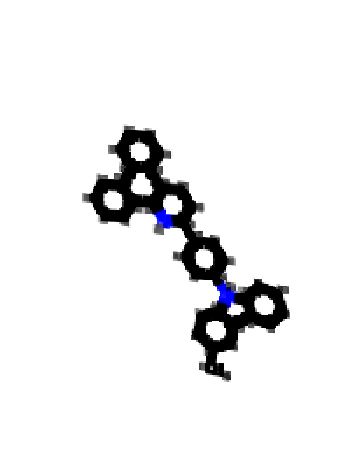 Cc1ccc2c(c1)c1ccccc1n2-c1ccc(-c2ccc3c4ccccc4c4ccccc4c3n2)cc1